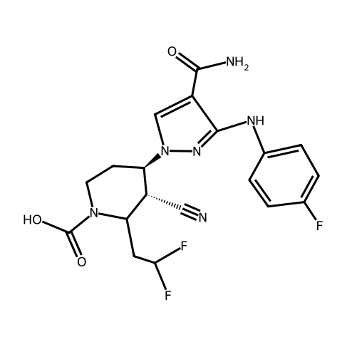 N#C[C@@H]1C(CC(F)F)N(C(=O)O)CC[C@H]1n1cc(C(N)=O)c(Nc2ccc(F)cc2)n1